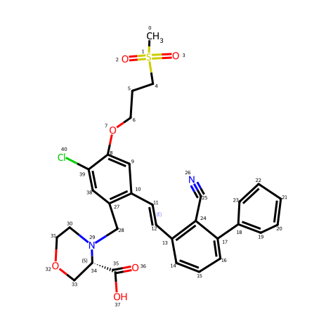 CS(=O)(=O)CCCOc1cc(/C=C/c2cccc(-c3ccccc3)c2C#N)c(CN2CCOC[C@H]2C(=O)O)cc1Cl